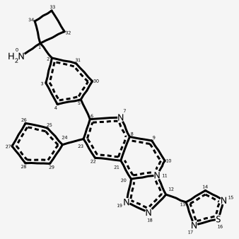 NC1(c2ccc(-c3nc4ccn5c(-c6cnsn6)nnc5c4cc3-c3ccccc3)cc2)CCC1